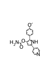 COc1ccc(-c2[nH]c(-c3ccncc3)cc2OC(N)=O)cc1